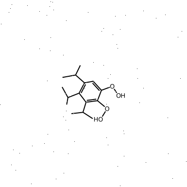 CC(C)c1cc(OO)c(OO)c(C(C)C)c1C(C)C